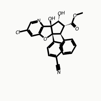 COC(=O)[C@H]1[C@@H](O)[C@@]2(O)c3ncc(Cl)cc3O[C@@]2(c2ccc(C#N)cc2)[C@@H]1c1ccccc1